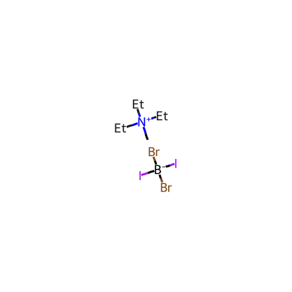 Br[B-](Br)(I)I.CC[N+](C)(CC)CC